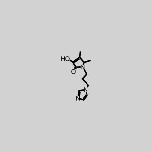 CC1=C(O)C(=O)N(CCCn2ccnc2)C1C